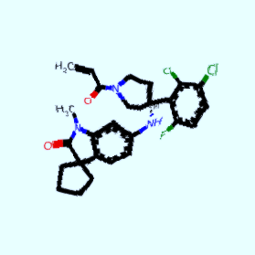 C=CC(=O)N1CC[C@@](Nc2ccc3c(c2)N(C)C(=O)C32CCCC2)(c2c(F)ccc(Cl)c2Cl)C1